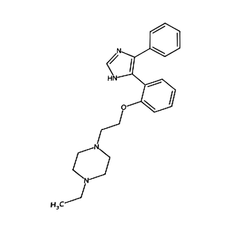 CCN1CCN(CCOc2ccccc2-c2[nH]cnc2-c2ccccc2)CC1